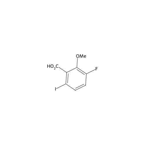 COc1c(F)ccc(I)c1C(=O)O